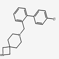 Clc1ccc(-c2ccccc2CN2CCC3(CC2)CNC3)cc1